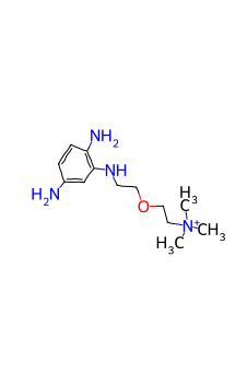 C[N+](C)(C)CCOCCNc1cc(N)ccc1N